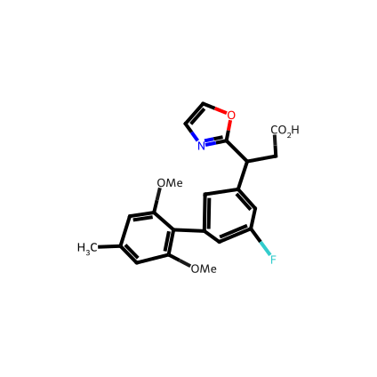 COc1cc(C)cc(OC)c1-c1cc(F)cc(C(CC(=O)O)c2ncco2)c1